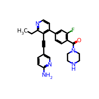 CCc1nccc(-c2ccc(C(=O)N3CCNCC3)c(F)c2)c1C#Cc1ccc(N)nc1